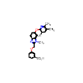 Cc1cc(C)c(Oc2ccc3nc(COc4cccc(C(=O)O)c4)n(C)c3c2)nc1C